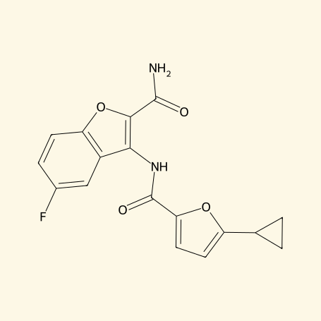 NC(=O)c1oc2ccc(F)cc2c1NC(=O)c1ccc(C2CC2)o1